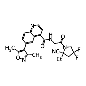 CCC1(C#N)CC(F)(F)CN1C(=O)CNC(=O)c1ccnc2ccc(-c3c(C)noc3C)cc12